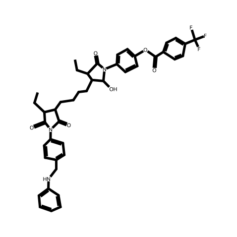 CCC1C(=O)N(c2ccc(CNc3ccccc3)cc2)C(=O)C1CCCCC1C(CC)C(=O)N(c2ccc(OC(=O)c3ccc(C(F)(F)F)cc3)cc2)C1O